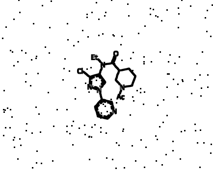 CCN(C(=O)C1CCCN(C(C)=O)C1)c1cn(-c2cccnc2)nc1Cl